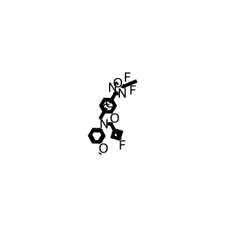 COc1cccc(N(CC23CCC(c4noc(C(C)(F)F)n4)(CC2)CC3)C(=O)C23CC(F)(C2)C3)c1